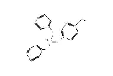 CCc1ccc(OP(=S)(Oc2ccccc2)Oc2ccccc2)cc1